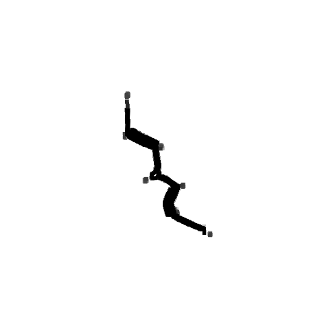 IC=COC=CI